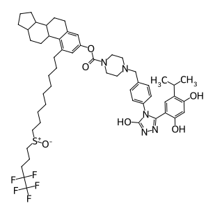 CC(C)c1cc(-c2nnc(O)n2-c2ccc(CN3CCN(C(=O)Oc4cc(CCCCCCCCC[S+]([O-])CCCC(F)(F)C(F)(F)F)c5c(c4)CCC4C5CCC5CCCC54)CC3)cc2)c(O)cc1O